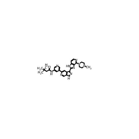 CN1CCN(c2nccc3[nH]c(-c4n[nH]c5cnc(-c6cncc(NC(=O)CC(C)(C)C)c6)cc45)nc23)CC1